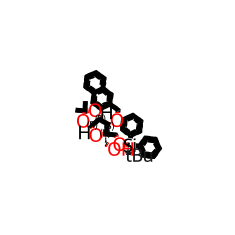 CC1(C)O[C@H]2O[C@](CO)(CO[Si](c3ccccc3)(c3ccccc3)C(C)(C)C)[C@@H](OCc3ccc4ccccc4c3)[C@H]2O1